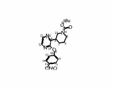 CC(C)(C)OC(=O)N1CCCC(c2nccnc2Oc2ccc(C=O)cc2)C1